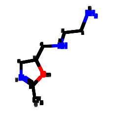 NCCNCC1CN=C(C(F)(F)F)O1